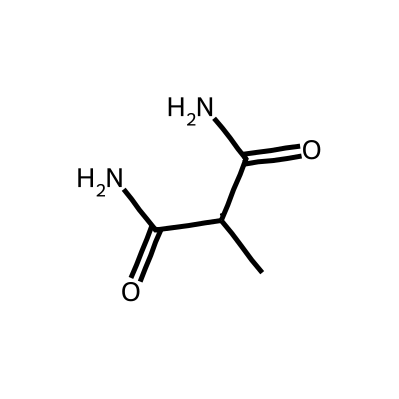 C[C](C(N)=O)C(N)=O